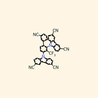 N#Cc1cccc(-c2ccc(-n3c4ccc(C#N)cc4c4cc(C#N)ccc43)c(C(F)(F)F)c2-n2c3ccc(C#N)cc3c3cc(C#N)ccc32)c1